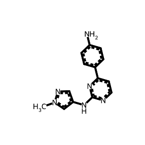 Cn1cc(Nc2nccc(-c3ccc(N)cc3)n2)cn1